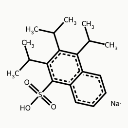 CC(C)c1c(C(C)C)c(S(=O)(=O)O)c2ccccc2c1C(C)C.[Na]